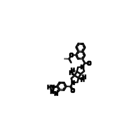 CC(C)Oc1cc(C(=O)N2C[C@@H]3[C@H](C2)[C@H]2CN(C(=O)c4ccc5[nH]nnc5c4)C[C@@H]32)cc2ccccc12